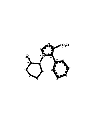 CCOC(=O)c1ncn([C@H]2CCCC[C@H]2O)c1-c1ccccc1